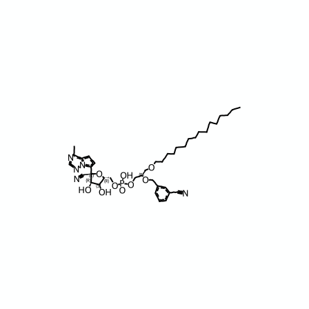 CCCCCCCCCCCCCCCCOC[C@H](COP(=O)(O)OC[C@H]1O[C@@](C#N)(c2ccc3c(C)ncnn23)[C@H](O)[C@@H]1O)OCc1cccc(C#N)c1